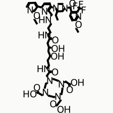 CCOc1ccc(C(=O)N2CCN(c3ccc(-c4cccnc4OCC)nc3CNCCCNC(=O)CC(O)CC(O)CCNC(=O)CN3CCN(CC(=O)O)CCN(CC(=O)O)CCN(CC(=O)O)CC3)C(CC)C2)c(C(F)(F)F)n1